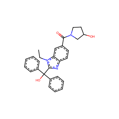 CCn1c(C(O)(c2ccccc2)c2ccccc2)nc2ccc(C(=O)N3CCC(O)C3)cc21